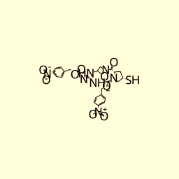 NC(=NC(=O)OCc1ccc([N+](=O)[O-])cc1)NC1CN(C(=O)[C@@H]2C[C@H](S)CN2C(=O)OCc2ccc([N+](=O)[O-])cc2)C1